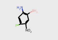 Bc1cc([N+](=O)[O-])c(F)cc1N